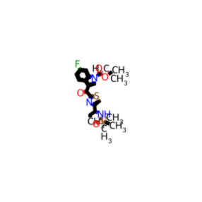 CCC(N[S+]([O-])C(C)(C)C)c1csc(C(=O)c2cn(C(=O)OC(C)(C)C)c3cc(F)ccc23)n1